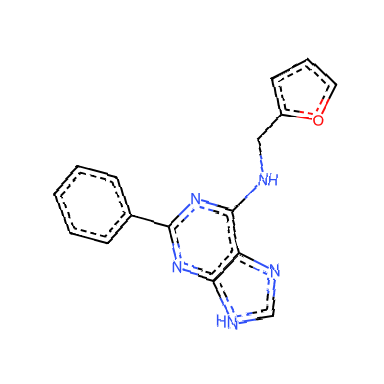 c1ccc(-c2nc(NCc3ccco3)c3nc[nH]c3n2)cc1